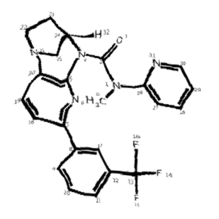 CN(C(=O)N1c2nc(-c3cccc(C(F)(F)F)c3)ccc2N2CC[C@H]1C2)c1ccccn1